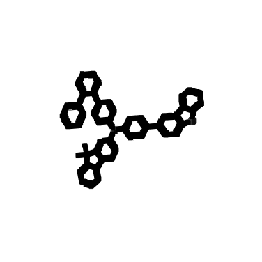 CC1(C)c2ccccc2-c2ccc(N(c3ccc(-c4ccc5oc6ccccc6c5c4)cc3)c3ccc(-c4ccccc4-c4ccccc4)cc3)cc21